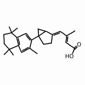 CC(=CC(=O)O)C=C1CCC2(c3cc4c(cc3C)C(C)(C)CCC4(C)C)CC12